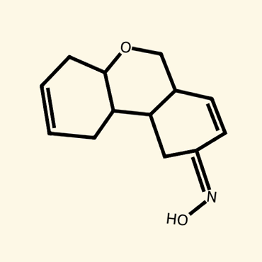 ON=C1C=CC2COC3CC=CCC3C2C1